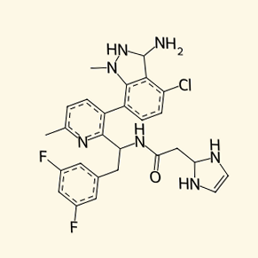 Cc1ccc(-c2ccc(Cl)c3c2N(C)NC3N)c(C(Cc2cc(F)cc(F)c2)NC(=O)CC2NC=CN2)n1